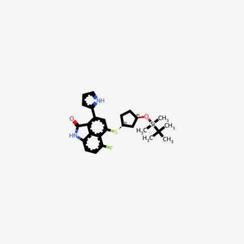 CC(C)(C)[Si](C)(C)O[C@@H]1CC[C@@H](Sc2cc(-c3ccc[nH]3)c3c4c(ccc(F)c24)NC3=O)C1